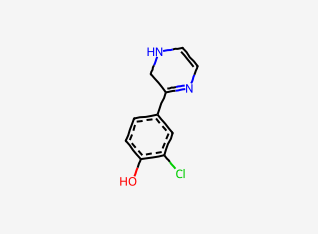 Oc1ccc(C2=NC=CNC2)cc1Cl